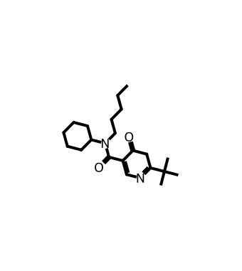 CCCCCN(C(=O)C1=CN=C(C(C)(C)C)CC1=O)C1CCCCC1